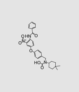 CC1(C)CCC(N(Cc2ccc(Oc3ccc(NC(=O)c4ccccc4)c([N+](=O)[O-])c3)cc2)C(=O)O)CC1